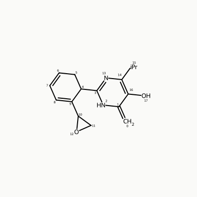 C=C1NC(C2CC=CC=C2C2CO2)=NC(C(C)C)=C1O